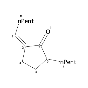 CCCCCC=C1CCC(CCCCC)C1=O